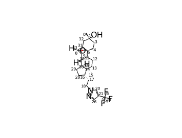 C[C@@]1(O)CC[C@]23CO[C@H](C[C@@H]4C2CC[C@@]2(C)[C@H](CCn5cc(C(F)(F)F)cn5)CC[C@@H]42)C3C1